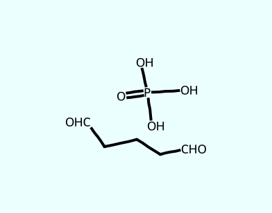 O=CCCCC=O.O=P(O)(O)O